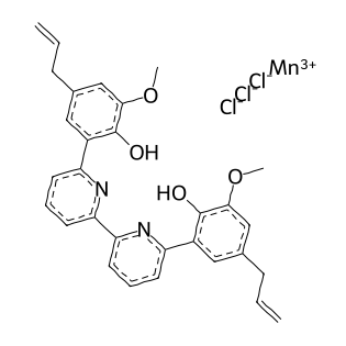 C=CCc1cc(OC)c(O)c(-c2cccc(-c3cccc(-c4cc(CC=C)cc(OC)c4O)n3)n2)c1.[Cl-].[Cl-].[Cl-].[Mn+3]